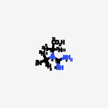 [2H]C([2H])([2H])N(C(=N)N)C([2H])([2H])C(=O)O